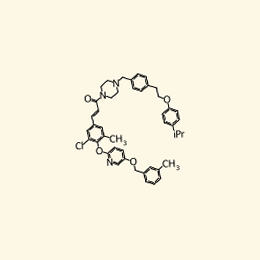 Cc1cccc(COc2ccc(Oc3c(C)cc(C=CC(=O)N4CCN(Cc5ccc(CCOc6ccc(C(C)C)cc6)cc5)CC4)cc3Cl)nc2)c1